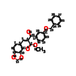 COC(=O)C(=Cc1ccc2c(c1)OCO2)C(=O)c1cccc(OCc2ccccc2)c1